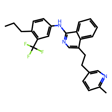 CCCc1ccc(Nc2ncc(CCc3ccc(C)nc3)c3ccccc23)cc1C(F)(F)F